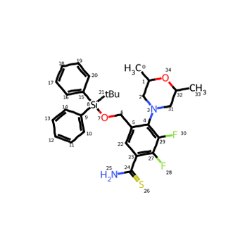 CC1CN(c2c(CO[Si](c3ccccc3)(c3ccccc3)C(C)(C)C)cc(C(N)=S)c(F)c2F)CC(C)O1